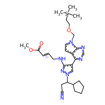 COC(=O)/C=C/CNc1nn(C(CC#N)C2CCCC2)cc1-c1ncnc2c1ccn2COCC[Si](C)(C)C